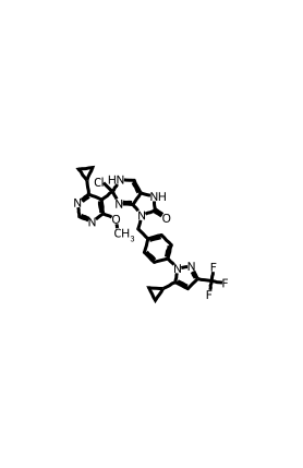 COc1ncnc(C2CC2)c1C1(Cl)N=c2c([nH]c(=O)n2Cc2ccc(-n3nc(C(F)(F)F)cc3C3CC3)cc2)=CN1